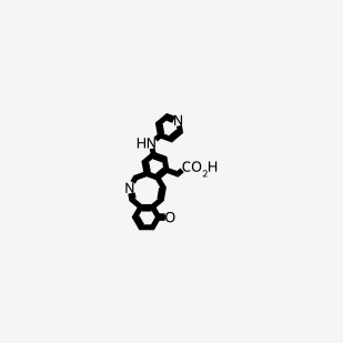 O=C(O)Cc1cc(Nc2ccncc2)cc2c1C=CC1=C(C=CCC1=O)C=NC2